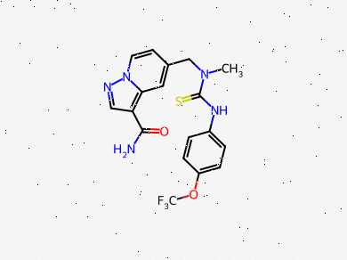 CN(Cc1ccn2ncc(C(N)=O)c2c1)C(=S)Nc1ccc(OC(F)(F)F)cc1